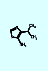 CC(C)c1ncsc1N